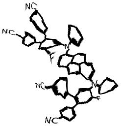 N#Cc1ccc(-c2cc(F)c(N(c3ccccc3)c3ccc4ccc5c(N(c6ccccc6)c6cc(-c7ccc(C#N)cc7)c(-c7ccc(C#N)cc7)cc6F)ccc6ccc3c4c65)cc2-c2ccc(C#N)cc2)cc1